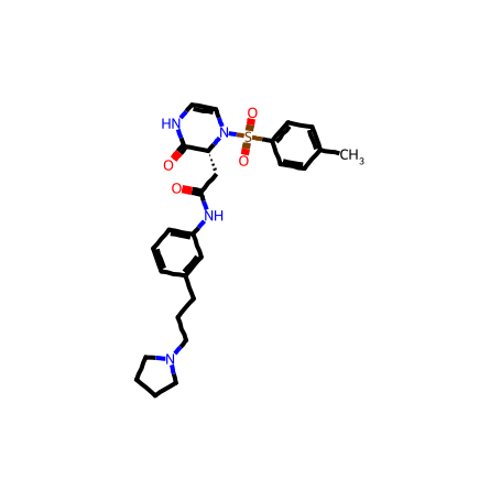 Cc1ccc(S(=O)(=O)N2C=CNC(=O)[C@H]2CC(=O)Nc2cccc(CCCN3CCCC3)c2)cc1